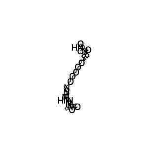 CC(=O)c1c(C)c2cnc(Nc3ccc(N4CCN(CCCOCCOCCOCCOCCOCCSc5cccc6c5CN(C5CCC(=O)NC5=O)C6=O)CC4)cn3)nc2n(C2CCCC2)c1=O